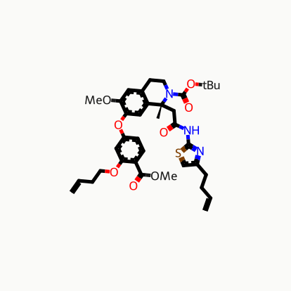 C=CCCOc1cc(Oc2cc3c(cc2OC)CCN(C(=O)OC(C)(C)C)[C@]3(C)CC(=O)Nc2nc(CCC=C)cs2)ccc1C(=O)OC